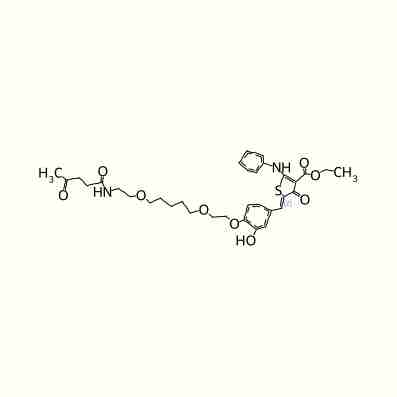 CCOC(=O)C1=C(Nc2ccccc2)S/C(=C\c2ccc(OCCOCCCCCOCCNC(=O)CCC(C)=O)c(O)c2)C1=O